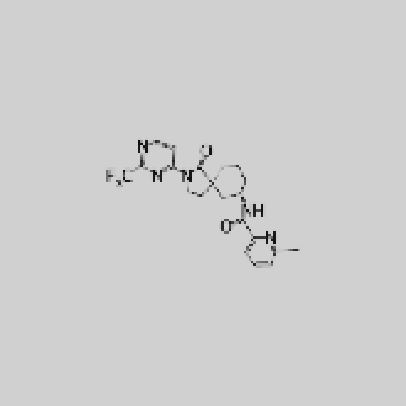 Cc1cccc(C(=O)N[C@@H]2CCC[C@@]3(CCN(c4ccnc(C(F)(F)F)n4)C3=O)C2)n1